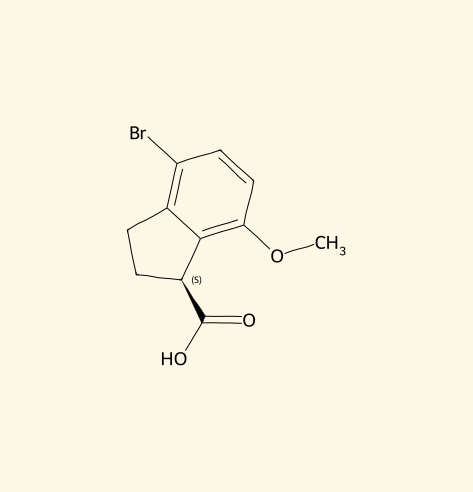 COc1ccc(Br)c2c1[C@@H](C(=O)O)CC2